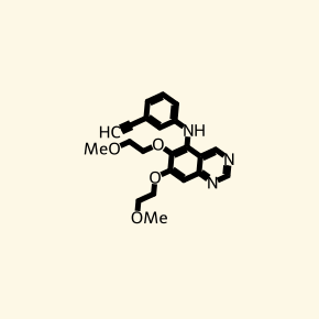 C#Cc1cccc(Nc2c(OCCOC)c(OCCOC)cc3ncncc23)c1